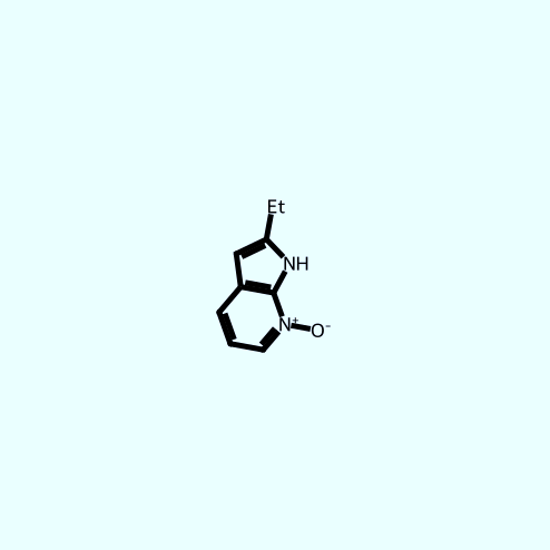 CCc1cc2ccc[n+]([O-])c2[nH]1